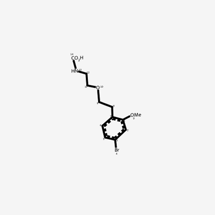 COc1cc(Br)ccc1CCOCCNC(=O)O